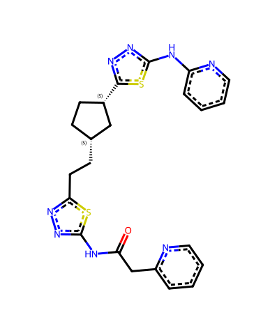 O=C(Cc1ccccn1)Nc1nnc(CC[C@@H]2CC[C@H](c3nnc(Nc4ccccn4)s3)C2)s1